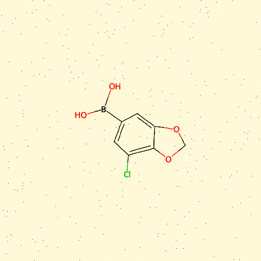 OB(O)c1cc(Cl)c2c(c1)OCO2